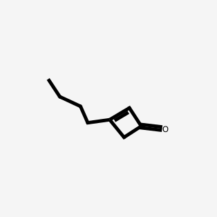 CCCCC1=CC(=O)C1